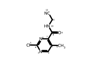 Cc1cnc(Cl)nc1C(=O)NCC#N